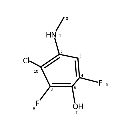 CNc1cc(F)c(O)c(F)c1Cl